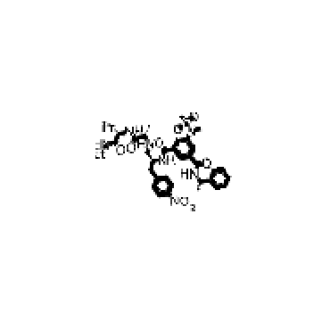 CCNC(=O)[C@@H](NC(=O)[C@H](C)NC[C@H](Cc1ccc([N+](=O)[O-])cc1)NC(=O)c1cc(C(=O)N[C@H](C)c2ccccc2)cc(N(C)S(C)(=O)=O)c1)C(C)C